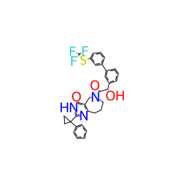 O=C(C(O)c1cccc(-c2cccc(SC(F)(F)F)c2)c1)N1CCCc2nc(C3(c4ccccc4)CC3)[nH]c(=O)c2C1